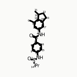 Cc1cc(NC(=O)c2ccc(N[S+]([O-])C(C)C)cc2)cc2c1C(C)CC2